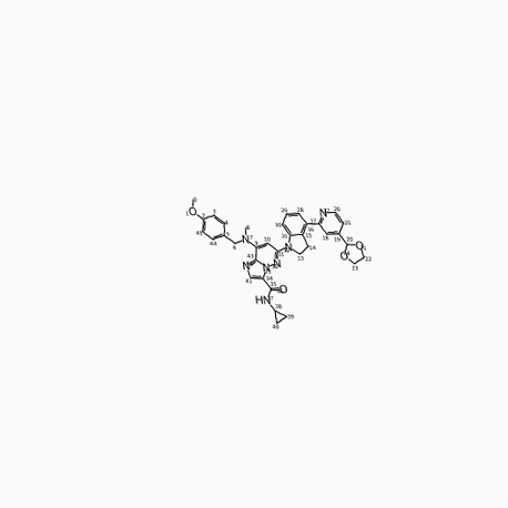 COc1ccc(CN(C)c2cc(N3CCc4c(-c5cc(C6OCCO6)ccn5)cccc43)nn3c(C(=O)NC4CC4)cnc23)cc1